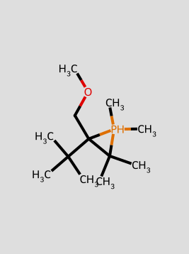 COCC1(C(C)(C)C)C(C)(C)[PH]1(C)C